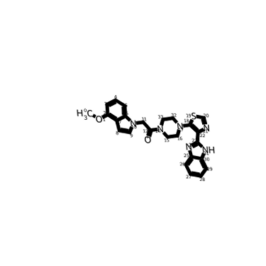 COc1cccc2c1ccn2CC(=O)N1CCN(c2scnc2-c2nc3ccccc3[nH]2)CC1